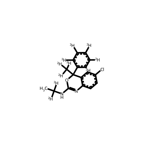 [2H]c1c([2H])c([2H])c(C2(C([2H])([2H])[2H])OC(NC([2H])([2H])C)=Nc3ccc(Cl)cc32)c([2H])c1[2H]